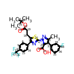 Cc1nn(-c2nc(-c3ccc(C(F)(F)F)cc3)c(CCC(=O)OC(C)(C)C)s2)c(C(=O)O)c1-c1cccc(F)c1